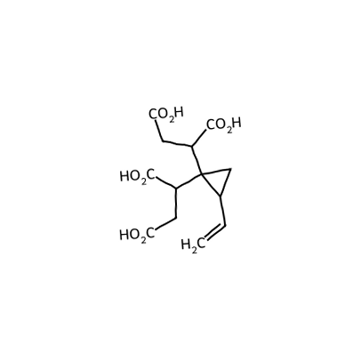 C=CC1CC1(C(CC(=O)O)C(=O)O)C(CC(=O)O)C(=O)O